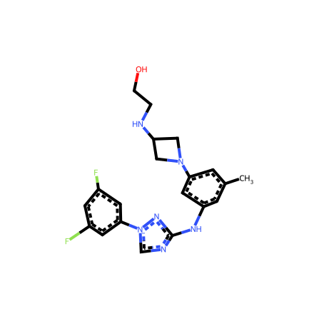 Cc1cc(Nc2ncn(-c3cc(F)cc(F)c3)n2)cc(N2CC(NCCO)C2)c1